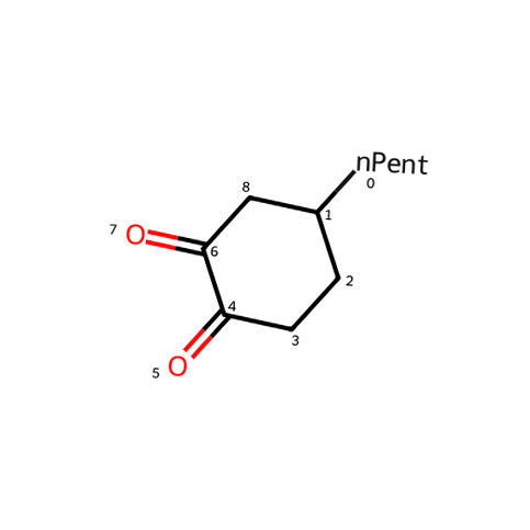 CCCCCC1CCC(=O)C(=O)C1